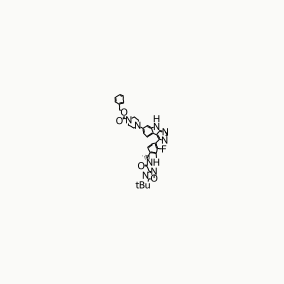 Cc1c([C@@H](C)NC(=O)c2noc(C(C)(C)C)n2)ccc(-c2ncnc3[nH]c4cc(N5CCN(C(=O)OCc6ccccc6)CC5)ccc4c23)c1F